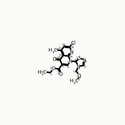 CCOC(=O)c1cn(C2SN=CN2COC)c2nc(Cl)cc(C)c2c1=O